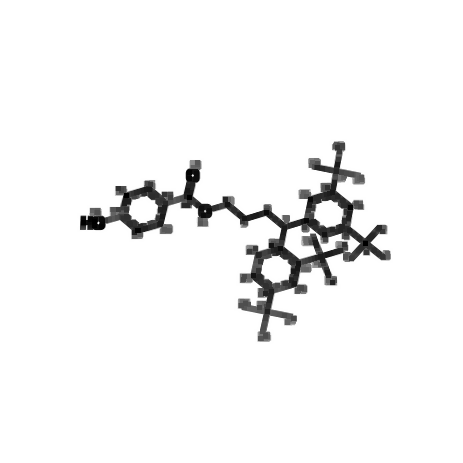 CC(C)(C)c1cc(C(CCCOC(=O)c2ccc(O)cc2)c2ccc(C(C)(C)C)cc2C(C)(C)C)cc(C(C)(C)C)c1